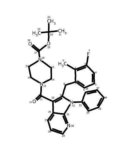 Cc1c(F)cccc1Cc1c(C(=O)N2CCN(C(=O)OC(C)(C)C)CC2)c2cccnc2n1-c1ccccc1